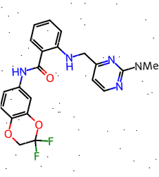 CNc1nccc(CNc2ccccc2C(=O)Nc2ccc3c(c2)OC(F)(F)CO3)n1